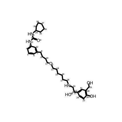 O=C(Nc1cccc(CCCCOCCCCCCNC[C@@H](O)c2ccc(O)c(CO)c2)c1)NC1CCCCC1